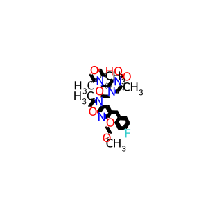 COCCOc1nc2c(cc1Cc1ccc(F)cc1)N(C(=O)CN1C[C@@H](C)N(C(=O)O)C[C@@H]1CN1[C@H](C)COC[C@H]1C)[C@@H](C)CO2